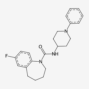 O=C(NC1CCN(c2ccccc2)CC1)N1CCCCc2cc(F)ccc21